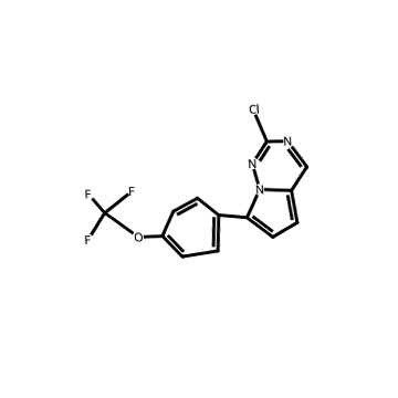 FC(F)(F)Oc1ccc(-c2ccc3cnc(Cl)nn23)cc1